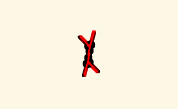 CCCCCCCCCCCCCCCCOC(=O)CCN(CCCCC(=O)OCCN1CC(C)N(CCOC(=O)CCCCN(CCC(=O)OCCCCCCCCCCCCCCCC)CCC(=O)OCCCCCCCCCCCCCCCC)CC1C)CCC(=O)OCCCCCCCCCCCCCCCC